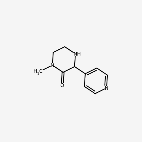 CN1CCNC(c2c[c]ncc2)C1=O